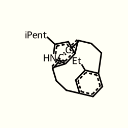 CCCC(C)c1cc2c3ccc(c2[nH]1)CCc1ccc(c(CC)c1)CC3